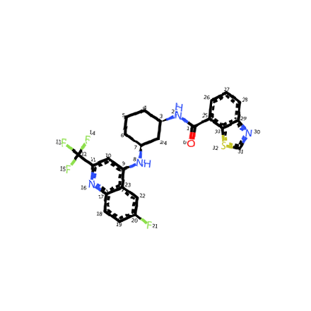 O=C(N[C@@H]1CCC[C@H](Nc2cc(C(F)(F)F)nc3ccc(F)cc23)C1)c1cccc2ncsc12